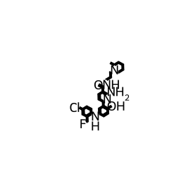 CC1CCCCN1CCCNC(=O)c1ccc(-c2cc(Nc3ccc(Cl)cc3CF)ccc2O)nc1N